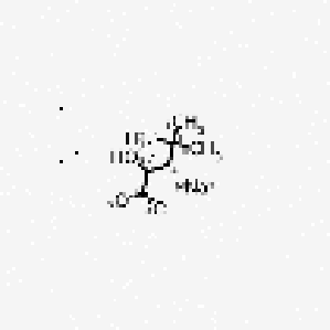 CC(C)(C)CC(O)C(=O)[O-].[Na+]